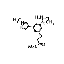 CNC(=O)COc1cc(-c2cnn(C)c2)cc([C@@H](C)N)c1.Cl